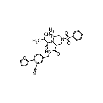 CC(C)C(=O)N1C(C)CN(S(=O)(=O)c2ccccc2)CC1C(=O)NCc1ccc(-c2ccco2)c(C#N)c1